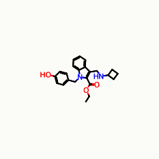 CCOC(=O)c1c(CNC2CCC2)c2ccccc2n1Cc1ccc(O)cc1